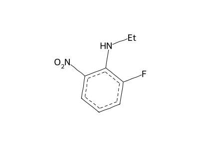 CCNc1c(F)cccc1[N+](=O)[O-]